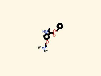 Cc1[nH]c2ccc(OCCN(C(C)C)C(C)C)cc2c1C(=O)OCc1ccccc1